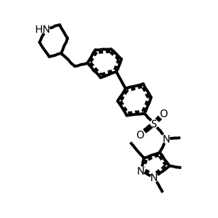 Cc1nn(C)c(C)c1N(C)S(=O)(=O)c1ccc(-c2cccc(CC3CCNCC3)c2)cc1